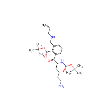 C=CCNCc1cccc(C(=O)[C@H](CCCCN)NC(=O)OC(C)(C)C)c1C(=O)OC(C)(C)C